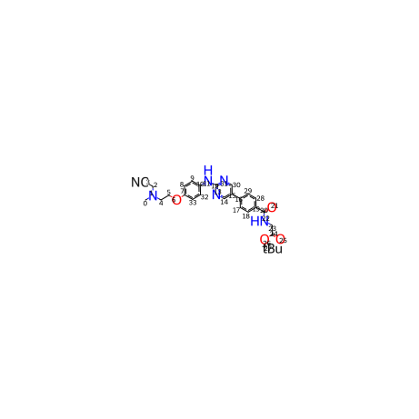 CN(CC#N)CCOc1ccc(Nc2ncc(-c3ccc(C(=O)NCC(=O)OC(C)(C)C)cc3)cn2)cc1